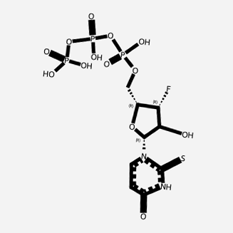 O=c1ccn([C@@H]2O[C@H](COP(=O)(O)OP(=O)(O)OP(=O)(O)O)[C@H](F)C2O)c(=S)[nH]1